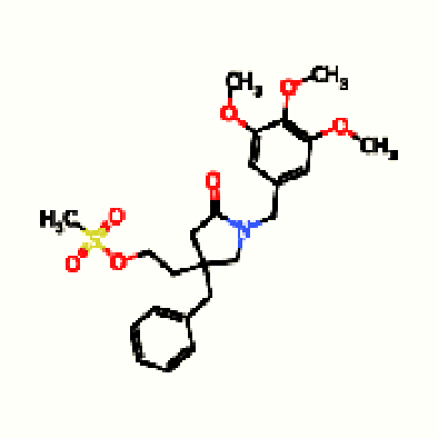 COc1cc(CN2CC(CCOS(C)(=O)=O)(Cc3ccccc3)CC2=O)cc(OC)c1OC